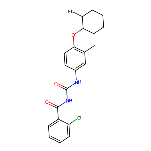 CCC1CCCCC1Oc1ccc(NC(=O)NC(=O)c2ccccc2Cl)cc1C